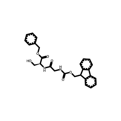 O=C(CNC(=O)OCC1c2ccccc2-c2ccccc21)N[C@@H](CO)C(=O)OCc1ccccc1